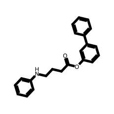 O=C(CCCNc1ccccc1)Oc1cccc(-c2ccccc2)c1